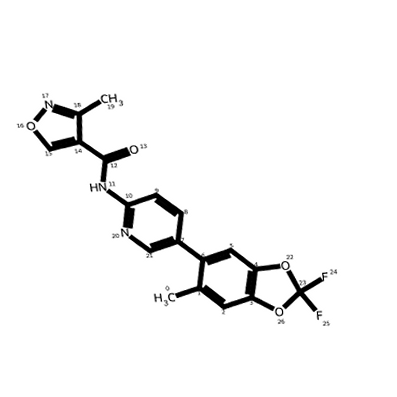 Cc1cc2c(cc1-c1ccc(NC(=O)c3conc3C)nc1)OC(F)(F)O2